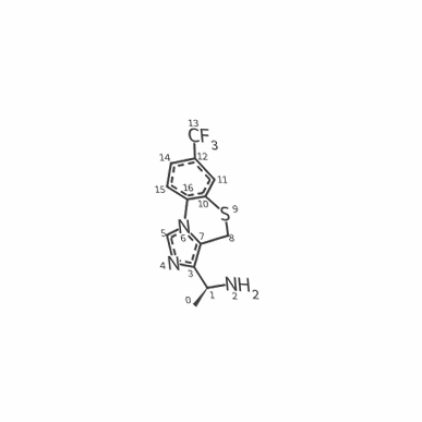 C[C@H](N)c1ncn2c1CSc1cc(C(F)(F)F)ccc1-2